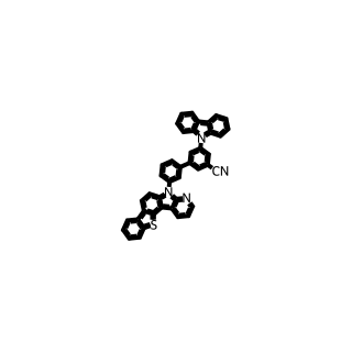 N#Cc1cc(-c2cccc(-n3c4ccc5c6ccccc6sc5c4c4cccnc43)c2)cc(-n2c3ccccc3c3ccccc32)c1